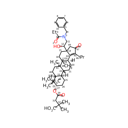 CCC(=O)N(Cc1ccccc1)CC(O)C12CC[C@]3(C)[C@H](CC[C@@H]4[C@@]5(C)CC[C@H](OC(=O)CC(C)(C)C(=O)O)C(C)(C)[C@H]5CC[C@]43C)C1=C(C(C)C)C(=O)C2